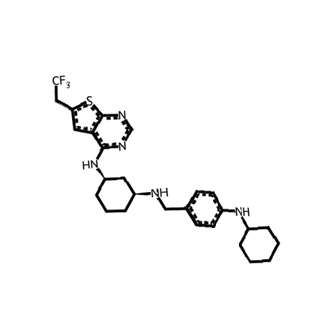 FC(F)(F)Cc1cc2c(N[C@@H]3CCC[C@H](NCc4ccc(NC5CCCCC5)cc4)C3)ncnc2s1